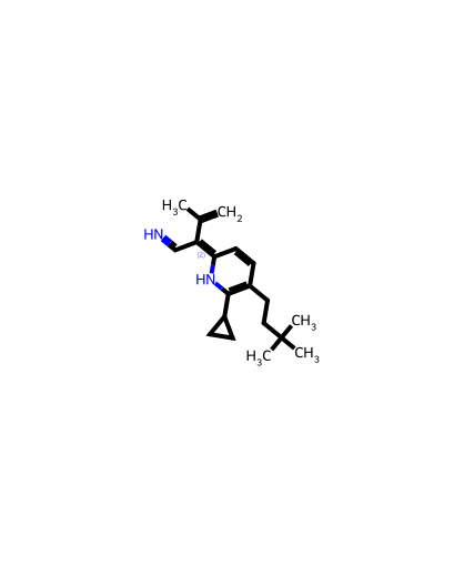 C=C(C)/C(C=N)=C1\C=CC(CCC(C)(C)C)=C(C2CC2)N1